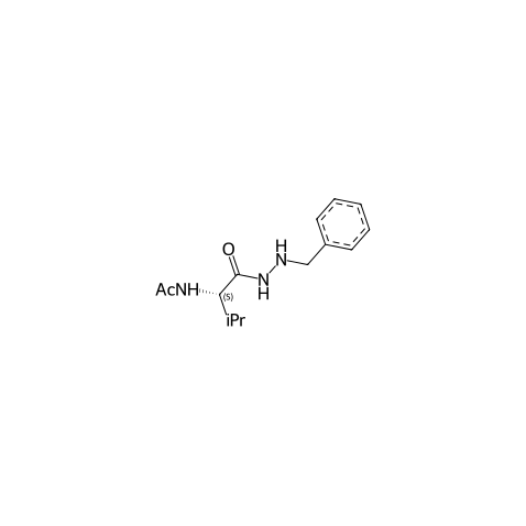 CC(=O)N[C@H](C(=O)NNCc1ccccc1)C(C)C